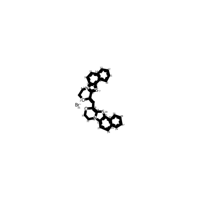 C(=C1OCC[n+]2c1sc1c3ccccc3ccc12)C1=C2Sc3c(ccc4ccccc34)N2CCO1.[Br-]